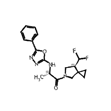 C[C@H](Nc1nnc(-c2ccccc2)o1)C(=O)N1C[C@@H](C(F)F)C2(CC2)C1